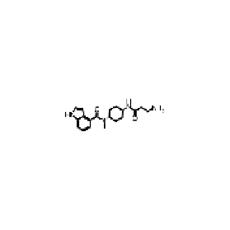 NCCC(=O)N[C@H]1CC[C@H](NC(=O)c2cccc3[nH]ccc23)CC1